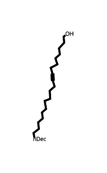 CCCCCCCCCCCCCCCCCCCCC#CCCCCCCCO